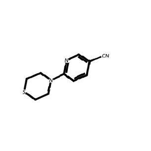 N#Cc1ccc(N2CCSCC2)nc1